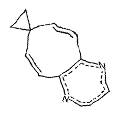 C1=CC2(C=Cc3nccnc31)CC2